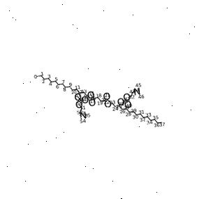 CCCCCCCCCCCCC(CCOC(=O)CCC(=O)OCCC(CCCCCCCCCCCC)OC(=O)OCCN(C)C)OC(=O)OCCN(C)C